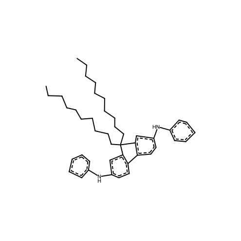 CCCCCCCCCCC1(CCCCCCCCCC)c2cc(Nc3ccccc3)ccc2-c2ccc(Nc3ccccc3)cc21